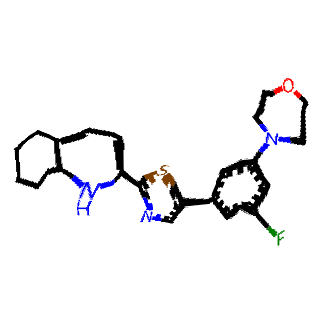 Fc1cc(-c2cnc(C3=CC=C4CCCCC4N3)s2)cc(N2CCOCC2)c1